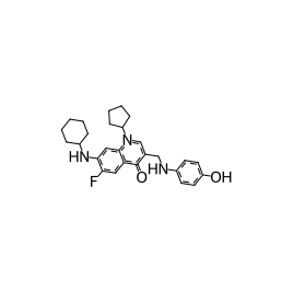 O=c1c(CNc2ccc(O)cc2)cn(C2CCCC2)c2cc(NC3CCCCC3)c(F)cc12